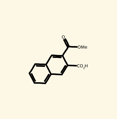 COC(=O)c1cc2ccccc2cc1C(=O)O